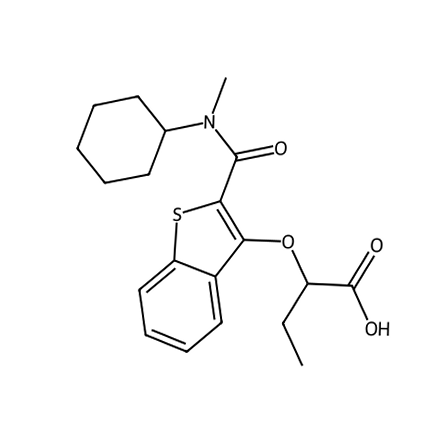 CCC(Oc1c(C(=O)N(C)C2CCCCC2)sc2ccccc12)C(=O)O